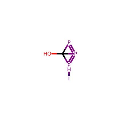 OC12P=P1=[PH]2I